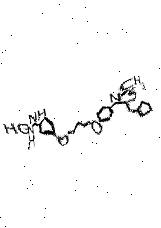 Cc1nc(-c2ccc(OCCCCCOc3ccc(C(=N)NO)cc3)cc2)c(CC2CCCC2)s1